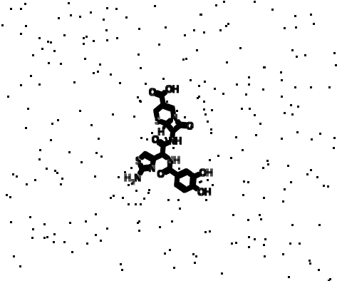 Nc1nc(C(NC(=O)c2ccc(O)c(O)c2)C(=O)NC2C(=O)N3C=C(C(=O)O)CS[C@H]23)cs1